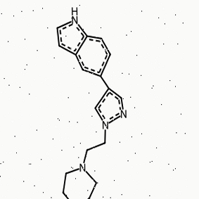 c1cc2cc(-c3cnn(CCN4CCCCC4)c3)ccc2[nH]1